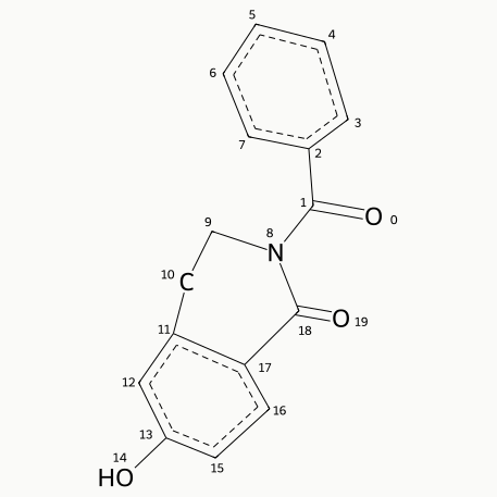 O=C(c1ccccc1)N1CCc2cc(O)ccc2C1=O